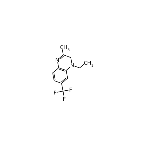 CCN1CC(C)=Nc2ccc(C(F)(F)F)cc21